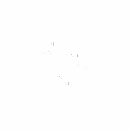 CCN(CCNc1ccc(C(=N)N)cc1)c1ccc(C(=N)N)cc1